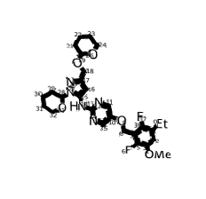 CCc1cc(OC)c(F)c(COc2cnc(Nc3cc(COC4CCCCO4)nn3C3CCCCO3)nc2)c1F